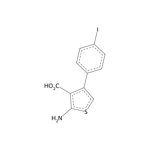 Nc1scc(-c2ccc(I)cc2)c1C(=O)O